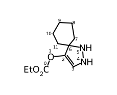 CCOC(=O)OC1=CNNC12CCCCC2